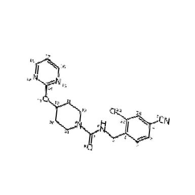 N#Cc1ccc(CNC(=O)N2CCC(Oc3ncccn3)CC2)c(Cl)c1